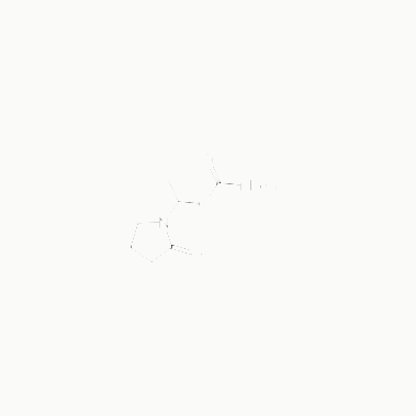 CCCCCC(=O)OC(C)N1CCCC1=O